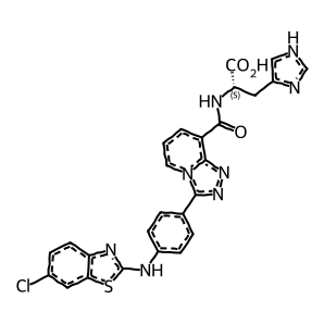 O=C(N[C@@H](Cc1c[nH]cn1)C(=O)O)c1cccn2c(-c3ccc(Nc4nc5ccc(Cl)cc5s4)cc3)nnc12